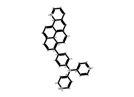 C1=CC2=CC3=C4C(=CC=C5C=CC(c6ccc(N(C7=CCNC=C7)c7ccncc7)cc6)=C(C=C3)C54)C2N=C1